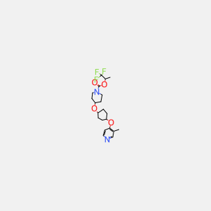 Cc1cnccc1OC1CCC(OC2CCN(C(=O)OC(C)C(F)(F)F)CC2)CC1